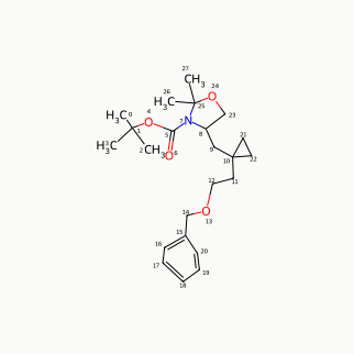 CC(C)(C)OC(=O)N1C(CC2(CCOCc3ccccc3)CC2)COC1(C)C